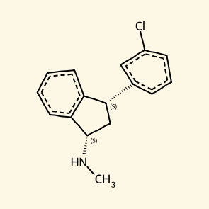 CN[C@H]1C[C@@H](c2cccc(Cl)c2)c2ccccc21